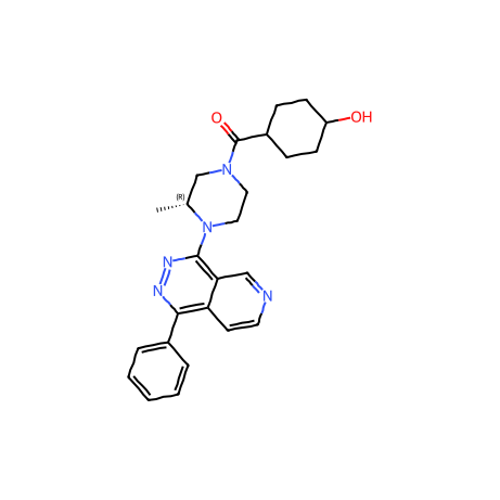 C[C@@H]1CN(C(=O)C2CCC(O)CC2)CCN1c1nnc(-c2ccccc2)c2ccncc12